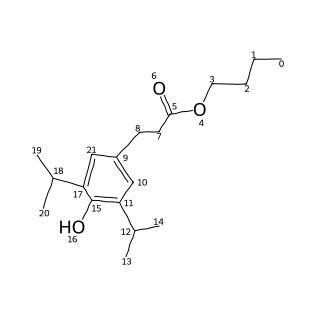 CCCCOC(=O)CCc1cc(C(C)C)c(O)c(C(C)C)c1